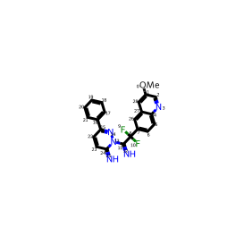 COc1cnc2ccc(C(F)(F)C(=N)n3nc(-c4ccccc4)ccc3=N)cc2c1